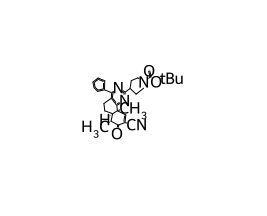 C[C@H]1C(=O)C(C#N)=C[C@@]2(C)c3nc(C4CCN(C(=O)OC(C)(C)C)CC4)nc(-c4ccccc4)c3CC[C@H]12